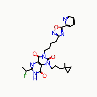 CC(F)c1nc2c(=O)n(CCCCc3noc(-c4ccccn4)n3)c(=O)n(CCCC3(C)CC3)c2c(=O)[nH]1